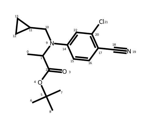 CC(C(=O)OC(C)(C)C)N(CC1CC1)c1ccc(C#N)c(Cl)c1